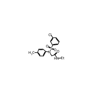 CCNC(=O)CN(c1ccc(C)cc1)S(=O)(=O)c1cccc(Cl)c1